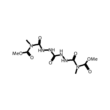 COC(=O)N(C)C(=O)NNC(=O)NNC(=O)N(C)C(=O)OC